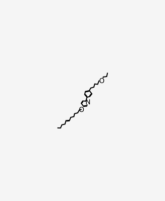 CCCCC=CCCCCCOc1ccc(-c2ccc(CCCCCOCCC)cc2)nc1